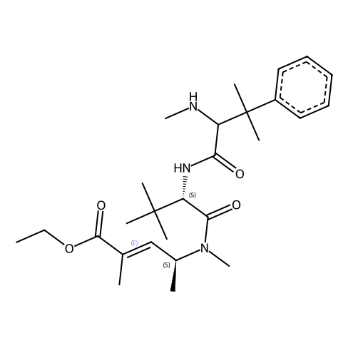 CCOC(=O)/C(C)=C/[C@H](C)N(C)C(=O)[C@@H](NC(=O)C(NC)C(C)(C)c1ccccc1)C(C)(C)C